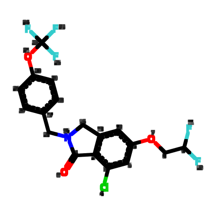 O=C1c2c(Cl)cc(OCC(F)F)cc2CN1Cc1ccc(OC(F)(F)F)cc1